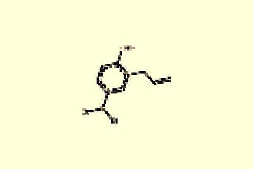 C=CCc1cc(N(CC)CC)ccc1C=O